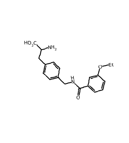 CCOc1cccc(C(=O)NCc2ccc(CC(N)C(=O)O)cc2)c1